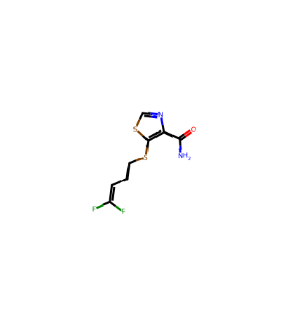 NC(=O)c1ncsc1SCCC=C(F)F